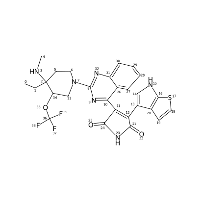 CCC1(NC)CCN(c2nc(C3=C(c4c[nH]c5sccc45)C(=O)NC3=O)c3ccccc3n2)CC1OC(F)(F)F